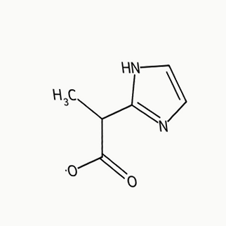 CC(C([O])=O)c1ncc[nH]1